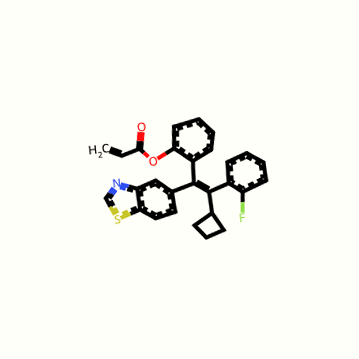 C=CC(=O)Oc1ccccc1/C(=C(\c1ccccc1F)C1CCC1)c1ccc2scnc2c1